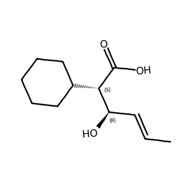 CC=C[C@@H](O)[C@@H](C(=O)O)C1CCCCC1